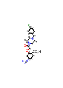 CC1CN(C(=O)COc2cc(N)ccc2C(=O)O)C(C)CN1Cc1ccc(F)cc1